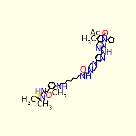 CC(=O)c1c(C)c2cnc(Nc3ccc(N4CCN(CC(=O)NCCCCCCCNc5cccc(C(=O)Nc6nc(C)c(C)s6)c5C)CC4)cn3)nc2n(C2CCCC2)c1=O